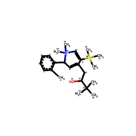 Cc1ccccc1C1C=C(CC(O)C(C)(C)C)C(S(C)(C)C)=C[N+]1(C)C